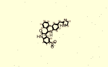 O=C1Nc2ccc([N+](=O)[O-])cc2C1=C(Nc1ccc(CC2=NCCN2)cc1)c1ccccc1